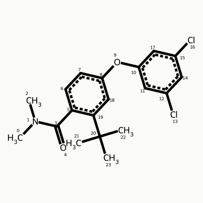 CN(C)C(=O)c1ccc(Oc2cc(Cl)cc(Cl)c2)cc1C(C)(C)C